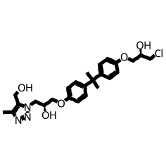 Cc1nnn(C[C@H](O)COc2ccc(C(C)(C)c3ccc(OC[C@@H](O)CCl)cc3)cc2)c1CO